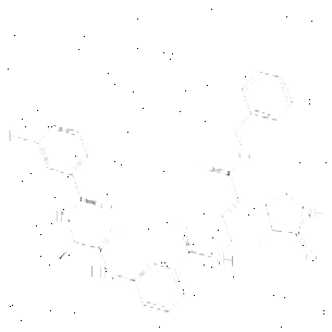 C[C@@H](NC(=O)c1cccc(F)c1)C(=O)Nc1cccc(C(=O)N[C@H](/C=C/C(=O)OCc2ccccc2)CC2CCNC2=O)c1